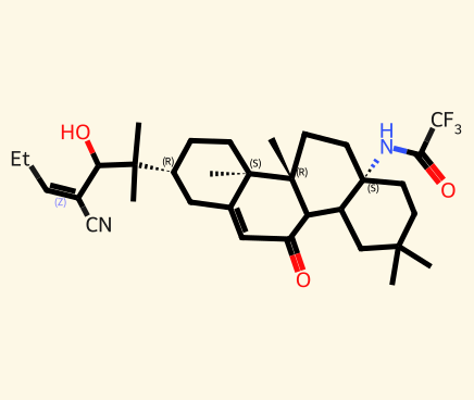 CC/C=C(/C#N)C(O)C(C)(C)[C@@H]1CC[C@]2(C)C(=CC(=O)C3C4CC(C)(C)CC[C@]4(NC(=O)C(F)(F)F)CC[C@]32C)C1